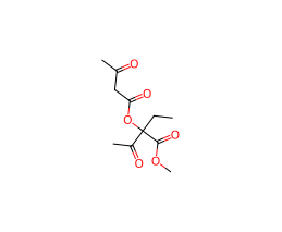 CCC(OC(=O)CC(C)=O)(C(C)=O)C(=O)OC